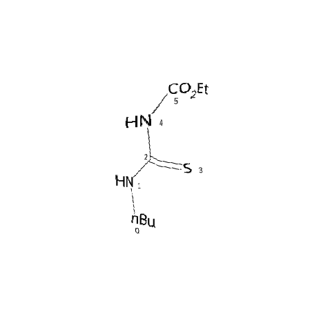 CCCCNC(=S)NC(=O)OCC